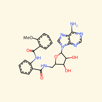 COc1ccccc1C(=O)Nc1ccccc1C(=O)NCC1OC(n2cnc3c(N)ncnc32)C(O)C1O